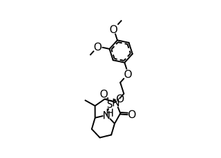 COc1ccc(OCCN2CC(C)C3CCCC(C2=O)N3[SH](=O)=O)cc1OC